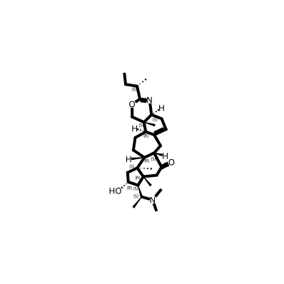 CC[C@H](C)C1=N[C@H]2CC=C3C[C@@H]4C(=O)C[C@]5(C)[C@@H]([C@H](C)N(C)C)[C@H](O)C[C@@]5(C)[C@@H]4CC[C@H]3[C@]2(C)CO1